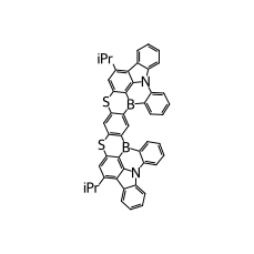 CC(C)c1cc2c3c4c1c1ccccc1n4-c1ccccc1B3c1cc3c(cc1S2)Sc1cc(C(C)C)c2c4ccccc4n4c2c1B3c1ccccc1-4